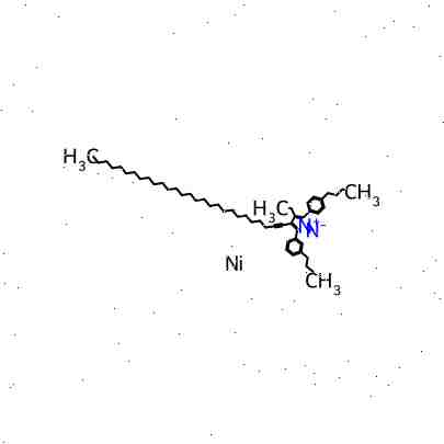 CCCCCCCCCCCCCCCCCCCCCCCCCCC#CC1=C(c2cccc(CCCC)c2)[N+](=[N-])C(c2ccc(CCCC)cc2)=C1CC.[Ni]